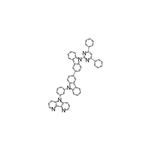 c1ccc(-c2cc(-c3ccccc3)nc(-n3c4ccccc4c4cc(-c5ccc6c(c5)c5ccccc5n6-c5cccc(-n6c7cccnc7c7ncccc76)c5)ccc43)n2)cc1